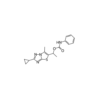 Cc1c(C(C)OC(=O)Nc2ccccc2)sc2nc(C3CC3)nn12